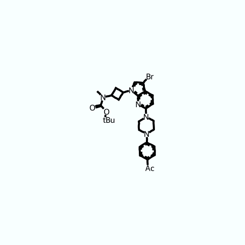 CC(=O)c1ccc(N2CCN(c3ccc4c(Br)cn(C5CC(N(C)C(=O)OC(C)(C)C)C5)c4n3)CC2)cc1